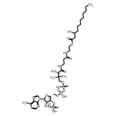 CCCCCCCCCC(O)CC(=O)SCCNC(=O)CCNC(=O)[C@H](O)C(C)(C)COP(=O)(O)OP(=O)(O)OC[C@H]1O[C@H](n2cnc3c(N)ncnc32)[C@H](O)[C@@H]1OP(=O)(O)O